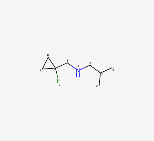 CC(C)CNCC1(F)CC1